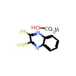 O=C(O)O.Sc1nc2ccccc2nc1S